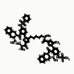 CCCCN(CCCCCc1cc(C(=O)N(CCCC)CCCC)nn1-c1ccc(NS(=O)(=O)c2ccccc2)cc1C(=O)N1Cc2ccccc2C[C@H]1CO)C(=O)c1cc(C)n(-c2ccc(NS(C)(=O)=O)cc2C(=O)N2Cc3ccccc3C[C@H]2CO)n1